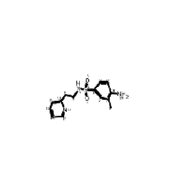 Cc1cc(S(=O)(=O)NCCc2ccccn2)ccc1N